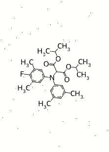 Cc1cc(C)cc(N(c2cc(C)c(F)c(C)c2)C(C(=O)OC(C)C)C(=O)OC(C)C)c1